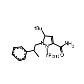 CCCCCN1C(C(N)=O)=CC(C(C)(C)C)N1CC(C)c1ccccc1